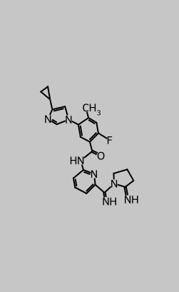 Cc1cc(F)c(C(=O)Nc2cccc(C(=N)N3CCCC3=N)n2)cc1-n1cnc(C2CC2)c1